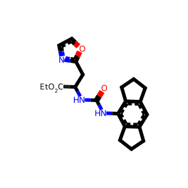 CCOC(=O)C(Cc1ncco1)NC(=O)Nc1c2c(cc3c1CCC3)CCC2